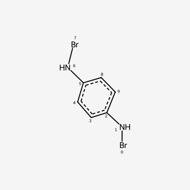 BrNc1ccc(NBr)cc1